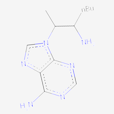 CCCCC(N)C(C)n1cnc2c(N)ncnc21